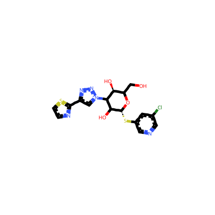 OCC1O[C@H](Sc2cncc(Cl)c2)C(O)C(n2cc(-c3nccs3)nn2)[C@H]1O